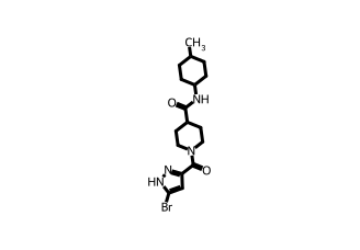 CC1CCC(NC(=O)C2CCN(C(=O)c3cc(Br)[nH]n3)CC2)CC1